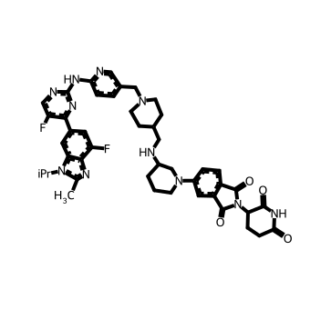 Cc1nc2c(F)cc(-c3nc(Nc4ccc(CN5CCC(CNC6CCCN(c7ccc8c(c7)C(=O)N(C7CCC(=O)NC7=O)C8=O)C6)CC5)cn4)ncc3F)cc2n1C(C)C